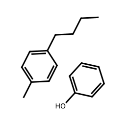 CCCCc1ccc(C)cc1.Oc1ccccc1